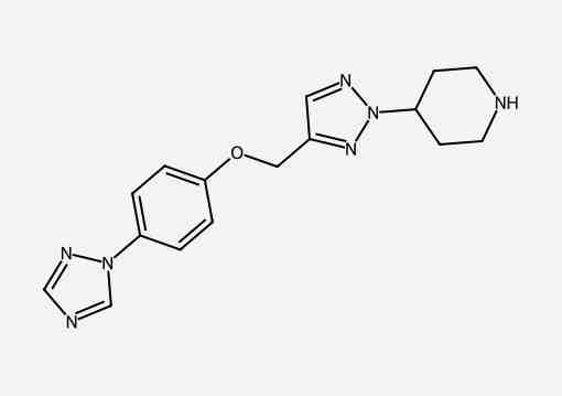 c1ncn(-c2ccc(OCc3cnn(C4CCNCC4)n3)cc2)n1